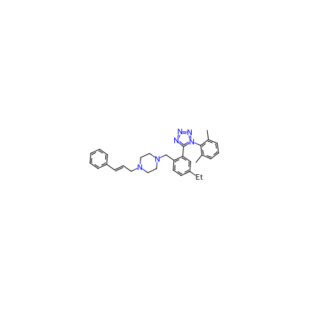 CCc1ccc(CN2CCN(CC=Cc3ccccc3)CC2)c(-c2nnnn2-c2c(C)cccc2C)c1